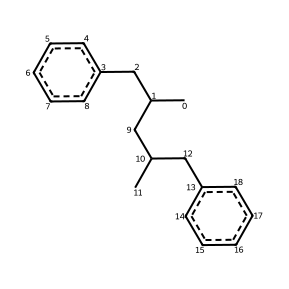 CC(Cc1ccccc1)CC(C)Cc1ccccc1